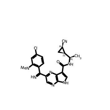 CNc1cc(Cl)ccc1C(=N)c1cnc2[nH]cc(C(=O)N[C@H](C)[C@H]3C[C@H]3C#N)c2n1